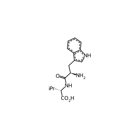 CC(C)[C@H](NC(=O)[C@H](N)Cc1c[nH]c2ccccc12)C(=O)O